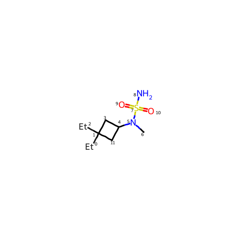 CCC1(CC)CC(N(C)S(N)(=O)=O)C1